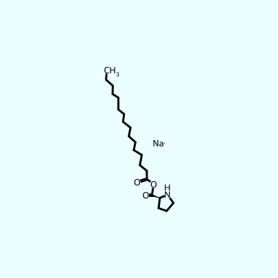 CCCCCCCCCCCCCCCC(=O)OC(=O)[C@@H]1CCCN1.[Na]